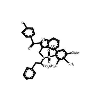 COc1cc(C)c(S(=O)(=O)N(Cc2c(C(=O)c3ccc(Cl)cc3)oc3ccccc23)C(Cc2ccccc2)C(=O)O)c(C)c1C